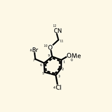 COc1cc(Cl)cc(CBr)c1OCC#N